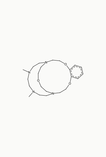 CN1CCN(C)CCN2CCOCCN(CCOc3ccccc3OCC2)CC1